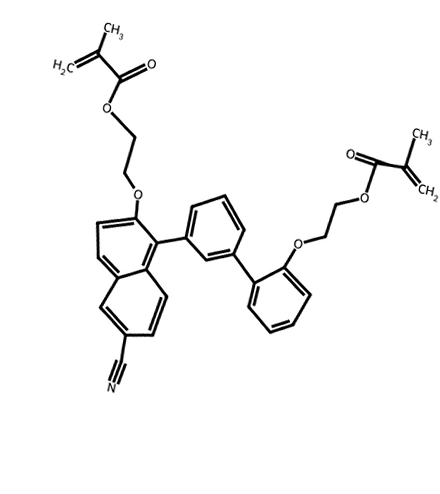 C=C(C)C(=O)OCCOc1ccccc1-c1cccc(-c2c(OCCOC(=O)C(=C)C)ccc3cc(C#N)ccc23)c1